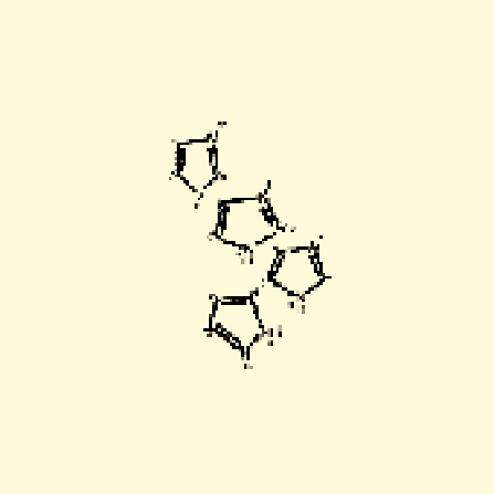 c1c[nH]cn1.c1c[nH]nn1.c1cn[nH]c1.c1cocn1